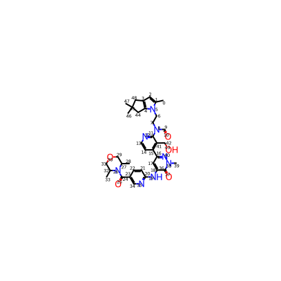 Cc1cc2c(n1CCN(C=O)c1nccc(-c3cc(Nc4ccc(C(=O)N5C(C)COCC5C)cn4)c(=O)n(C)n3)c1CO)CC(C)(C)C2